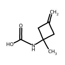 C=C1CC(C)(NC(=O)O)C1